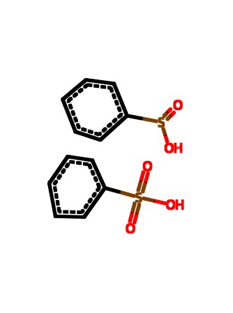 O=S(=O)(O)c1ccccc1.O=S(O)c1ccccc1